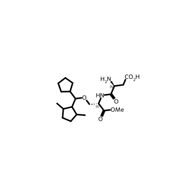 COC(=O)[C@H](COC(C1CCCC1)C1C(C)CCC1C)NC(=O)[C@@H](N)CC(=O)O